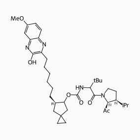 COc1ccc2nc(CCCCCC[C@@H]3CC4(CC4)CC3OC(=O)NC(C(=O)N3CC[C@@H](C(C)C)[C@H]3C(C)=O)C(C)(C)C)c(O)nc2c1